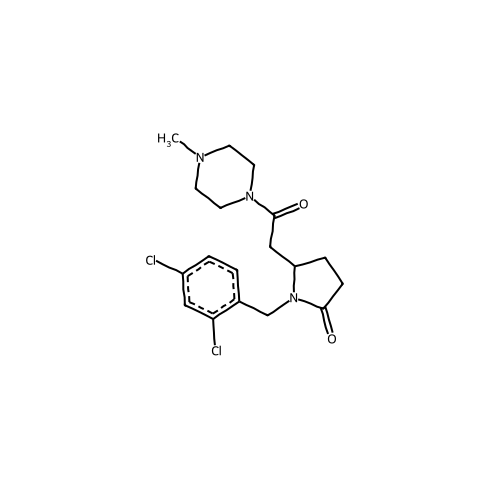 CN1CCN(C(=O)CC2CCC(=O)N2Cc2ccc(Cl)cc2Cl)CC1